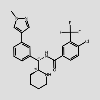 Cn1cc(-c2cccc([C@H](NC(=O)c3ccc(Cl)c(C(F)(F)F)c3)[C@@H]3CCCCN3)c2)cn1